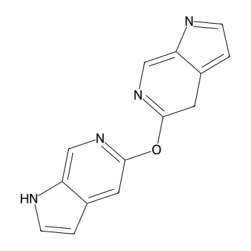 C1=NC2=CN=C(Oc3cc4cc[nH]c4cn3)CC2=C1